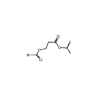 CC(I)OC(=O)CCOC(=O)C(C)C